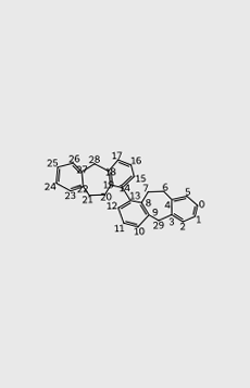 c1ccc2c(c1)CCc1c(cccc1-c1cccc3c1CCc1ccccc1C3)C2